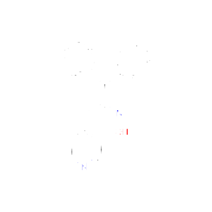 ON=C(Cc1ccncc1)C1c2ccccc2-c2ccccc21